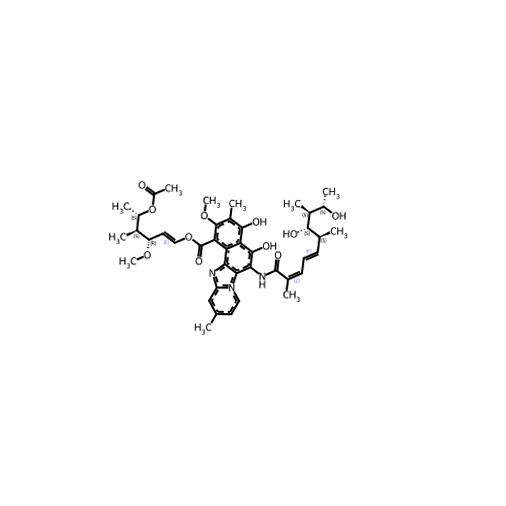 COc1c(C)c(O)c2c(O)c(NC(=O)/C(C)=C\C=C\[C@H](C)[C@H](O)[C@@H](C)[C@H](C)O)c3c(nc4cc(C)ccn43)c2c1C(=O)O/C=C/[C@H](OC)[C@@H](C)[C@H](C)OC(C)=O